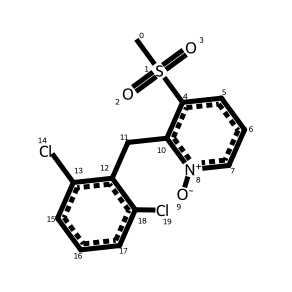 CS(=O)(=O)c1ccc[n+]([O-])c1Cc1c(Cl)cccc1Cl